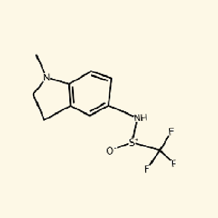 CN1CCc2cc(N[S+]([O-])C(F)(F)F)ccc21